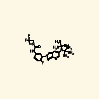 BC(B)(B)N(c1cnc2nn(-c3cc(NC(=O)N4CC(F)(F)C4)ccc3F)cc2c1)C(B)(B)B